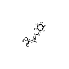 COC(=O)C1CN1CCc1ccccc1